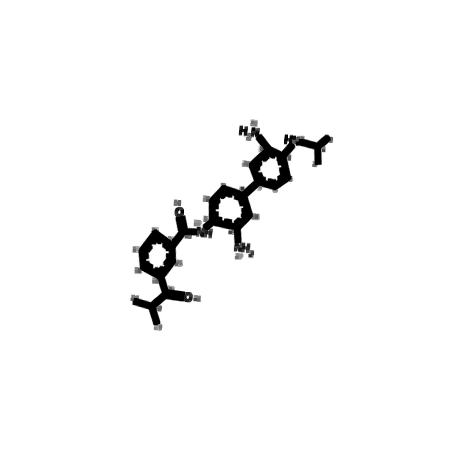 CC(C)Nc1ccc(-c2ccc(NC(=O)c3cccc(C(=O)C(C)C)c3)c(N)c2)cc1N